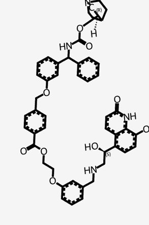 O=C(NC(c1ccccc1)c1cccc(OCc2ccc(C(=O)OCCOc3cccc(CNC[C@@H](O)c4ccc(O)c5[nH]c(=O)ccc45)c3)cc2)c1)O[C@H]1CN2CCC1CC2